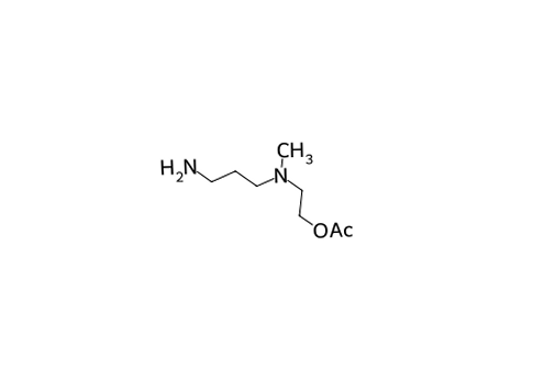 CC(=O)OCCN(C)CCCN